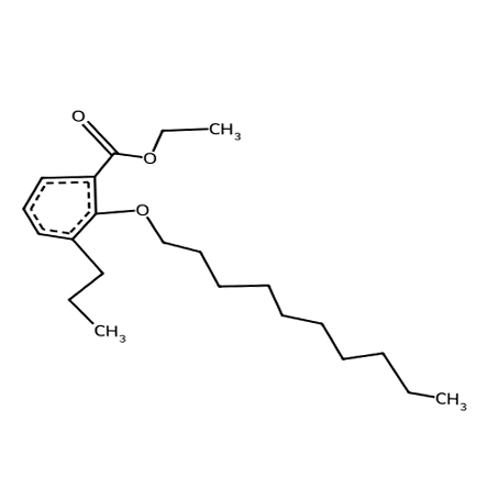 CCCCCCCCCCOc1c(CCC)cccc1C(=O)OCC